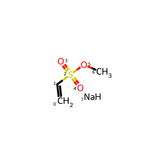 C=CS(=O)(=O)OC.[NaH]